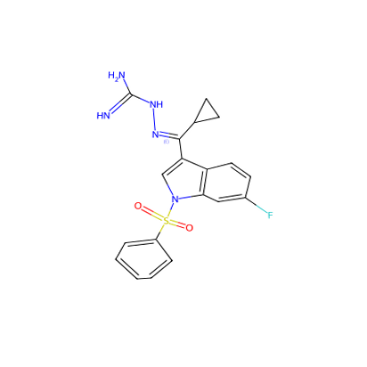 N=C(N)N/N=C(/c1cn(S(=O)(=O)c2ccccc2)c2cc(F)ccc12)C1CC1